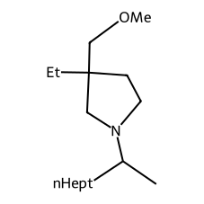 CCCCCCCC(C)N1CCC(CC)(COC)C1